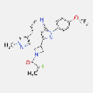 C=C(F)C(=O)N1CC(c2nn(-c3ccc(OC(F)(F)F)cc3)c3nccc(-c4cnn(C)c4)c23)C1